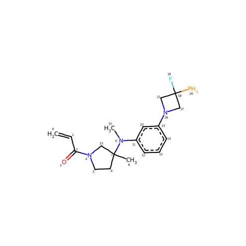 C=CC(=O)N1CCC(C)(N(C)c2cccc(N3CC(F)(P)C3)c2)C1